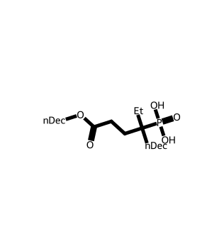 CCCCCCCCCCOC(=O)CCC(CC)(CCCCCCCCCC)P(=O)(O)O